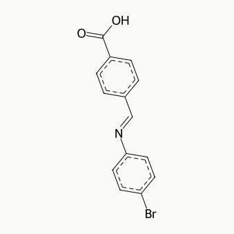 O=C(O)c1ccc(/C=N/c2ccc(Br)cc2)cc1